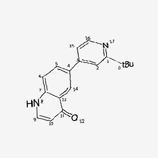 CC(C)(C)c1cc(-c2ccc3[nH]ccc(=O)c3c2)ccn1